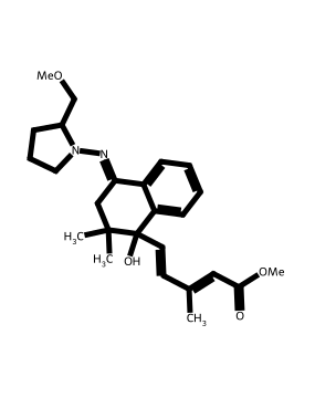 COCC1CCCN1N=C1CC(C)(C)C(O)(C=CC(C)=CC(=O)OC)c2ccccc21